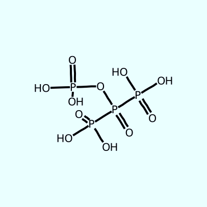 O=P(O)(O)OP(=O)(P(=O)(O)O)P(=O)(O)O